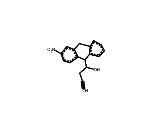 C#CCC(O)C1c2ccccc2Cc2cc([N+](=O)[O-])ccc21